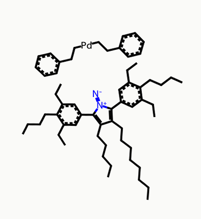 CCCCCCCCC1=C(c2cc(CC)c(CCCC)c(CC)c2)[N+](=[N-])C(c2cc(CC)c(CCCC)c(CC)c2)=C1CCCCC.c1ccc(C[CH2][Pd][CH2]Cc2ccccc2)cc1